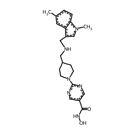 Cc1ccc2c(c1)c(CNCC1CCN(c3ncc(C(=O)NO)cn3)CC1)cn2C